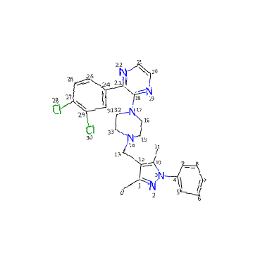 Cc1nn(-c2ccccc2)c(C)c1CN1CCN(c2nccnc2-c2ccc(Cl)c(Cl)c2)CC1